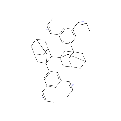 C/C=C\c1cc(/C=C\C)cc(C23CC4CC(C2)CC(C2C5CC6CC(C5)CC2(c2cc(/C=C\C)cc(/C=C\C)c2)C6)(C4)C3)c1